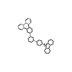 C1=CC2=c3ccc(-c4cccc(-c5ccc(-n6c7ccccc7c7ccccc76)cc5)c4)cc3=C3C=CC=CC3C2C=C1